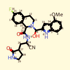 COc1cccc2[nH]c(C(O)N3CCc4cc(F)ccc4C3C(=O)NC(C#N)CC3CCNC3=O)cc12